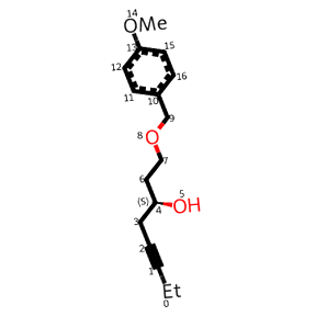 CCC#CC[C@H](O)CCOCc1ccc(OC)cc1